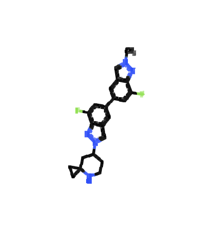 Cn1cc2cc(-c3cc(F)c4nn(C5CCNC6(CC6)C5)cc4c3)cc(F)c2n1